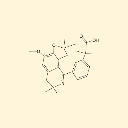 COc1cc2c(c3c1OC(C)(C)C3)C(c1cccc(C(C)(C)C(=O)O)c1)=NC(C)(C)C2